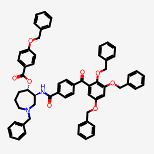 O=C(N[C@H]1CN(Cc2ccccc2)CCC[C@@H]1OC(=O)c1ccc(OCc2ccccc2)cc1)c1ccc(C(=O)c2cc(OCc3ccccc3)cc(OCc3ccccc3)c2OCc2ccccc2)cc1